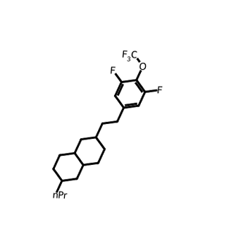 CCCC1CCC2CC(CCc3cc(F)c(OC(F)(F)F)c(F)c3)CCC2C1